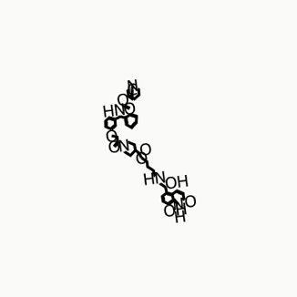 O=C(NC(c1ccccc1)c1cccc(OCC(=O)N2CCC(C(=O)OCCCCNCC(O)c3ccc(O)c4[nH]c(=O)ccc34)CC2)c1)OC1CN2CCC1CC2